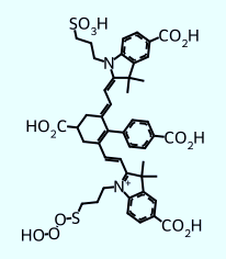 CC1(C)C(/C=C/C2=C(c3ccc(C(=O)O)cc3)C(=C/C=C3/N(CCCS(=O)(=O)O)c4ccc(C(=O)O)cc4C3(C)C)/CC(C(=O)O)C2)=[N+](CCCSOOO)c2ccc(C(=O)O)cc21